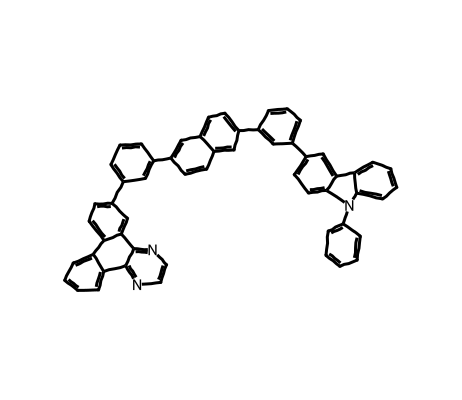 c1ccc(-n2c3ccccc3c3cc(-c4cccc(-c5ccc6cc(-c7cccc(-c8ccc9c%10ccccc%10c%10nccnc%10c9c8)c7)ccc6c5)c4)ccc32)cc1